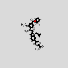 COc1cc(C(=O)N2CC3CCC2[C@@H]3C)cc2nc(-c3cc4ccc(-c5cnc(C(N)=O)nc5)cc4n3CC3CC3)n(C)c12